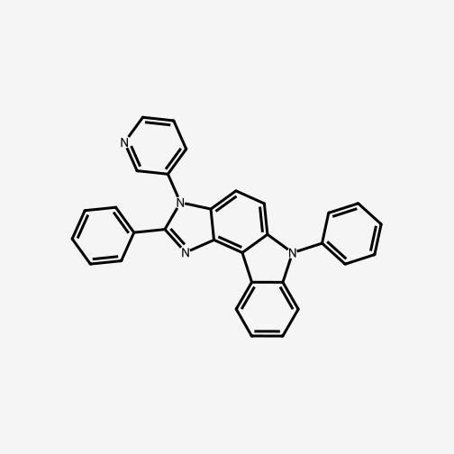 c1ccc(-c2nc3c4c5ccccc5n(-c5ccccc5)c4ccc3n2-c2cccnc2)cc1